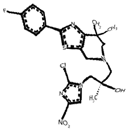 CC1(C)CN(C[C@@](C)(O)Cn2cc([N+](=O)[O-])nc2Cl)Cc2sc(-c3ccc(F)cc3)nc21